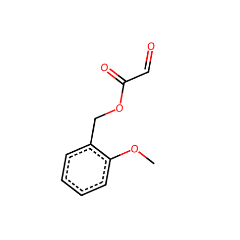 COc1ccccc1COC(=O)C=O